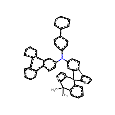 CC1(C)c2ccccc2C2(c3ccccc3-c3ccc(N(c4ccc(-c5ccccc5)cc4)c4ccc5c6ccccc6c6ccccc6c5c4)cc32)c2ccccc21